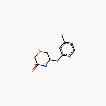 Cc1cccc(CC2COCC(=O)N2)c1